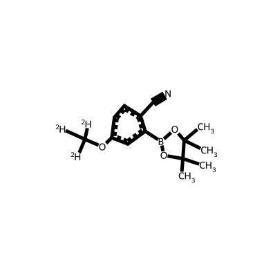 [2H]C([2H])([2H])Oc1ccc(C#N)c(B2OC(C)(C)C(C)(C)O2)c1